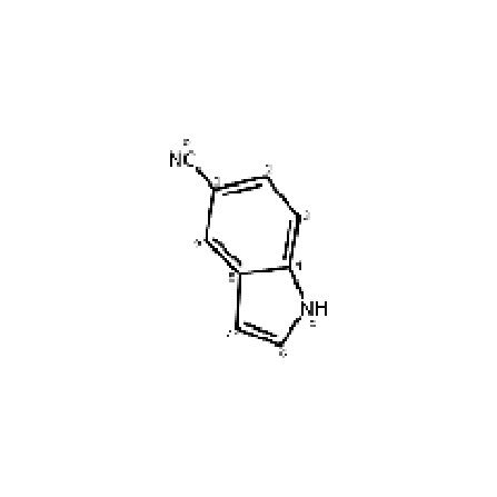 N#Cc1ccc2[nH]c[c]c2c1